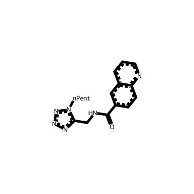 CCCCCn1nnnc1CNC(=O)c1ccc2ncccc2c1